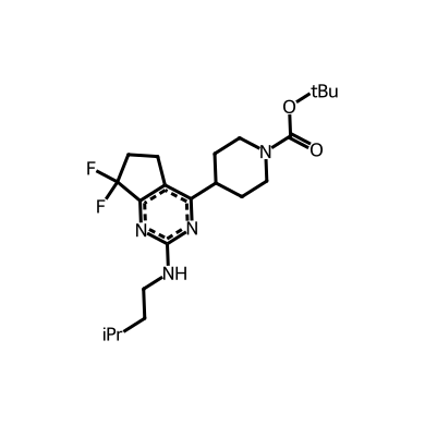 CC(C)CCNc1nc(C2CCN(C(=O)OC(C)(C)C)CC2)c2c(n1)C(F)(F)CC2